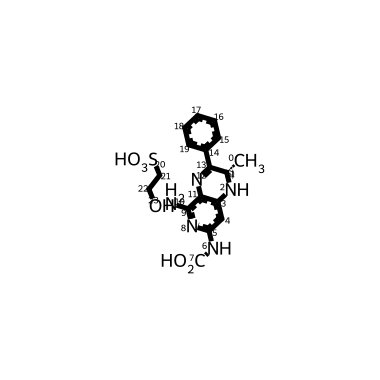 C[C@@H]1Nc2cc(NC(=O)O)nc(N)c2N=C1c1ccccc1.O=S(=O)(O)CCO